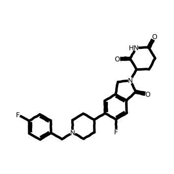 O=C1CCC(N2Cc3cc(C4CCN(Cc5ccc(F)cc5)CC4)c(F)cc3C2=O)C(=O)N1